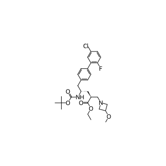 CCOC(=O)[C@@H](C[C@@H](Cc1ccc(-c2cc(Cl)ccc2F)cc1)NC(=O)OC(C)(C)C)CN1CC(OC)C1